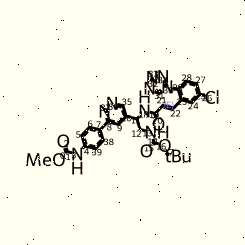 COC(=O)Nc1ccc(-c2cc(C(CNC(=O)OC(C)(C)C)NC(=O)/C=C/c3cc(Cl)ccc3-n3cnnn3)cnn2)cc1